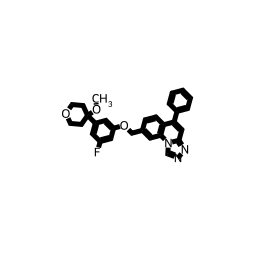 COC1(c2cc(F)cc(OCc3ccc4c(-c5ccccc5)cc5nncn5c4c3)c2)CCOCC1